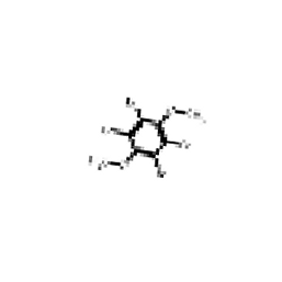 COc1c(Br)c(Br)c(OC)c(Br)c1Br